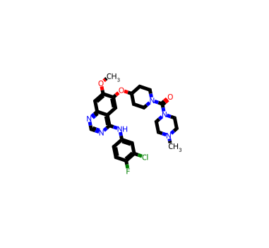 COc1cc2ncnc(Nc3ccc(F)c(Cl)c3)c2cc1OC1CCN(C(=O)N2CCN(C)CC2)CC1